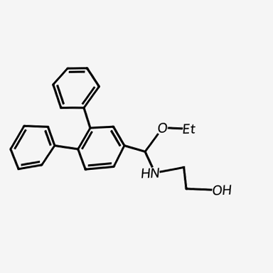 CCOC(NCCO)c1ccc(-c2ccccc2)c(-c2ccccc2)c1